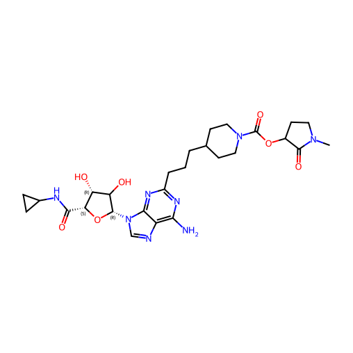 CN1CCC(OC(=O)N2CCC(CCCc3nc(N)c4ncn([C@@H]5O[C@H](C(=O)NC6CC6)[C@H](O)C5O)c4n3)CC2)C1=O